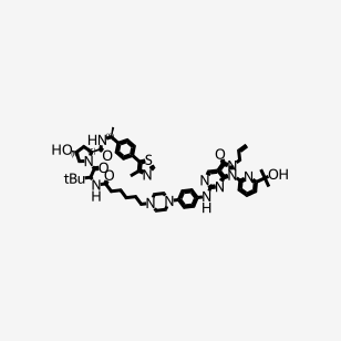 C=CCn1c(=O)c2cnc(Nc3ccc(N4CCN(CCCCCC(=O)NC(C(=O)N5C[C@H](O)C[C@H]5C(=O)N[C@@H](C)c5ccc(-c6scnc6C)cc5)C(C)(C)C)CC4)cc3)nc2n1-c1cccc(C(C)(C)O)n1